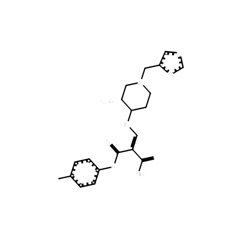 N#C[C@@H]1CN(Cc2cocn2)CCC1N/C=C(\C(=N)Nc1ccc(F)cc1)C(N)=O